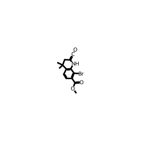 COC(=O)c1ccc2c(c1Br)NC(=C=O)CC2(C)C